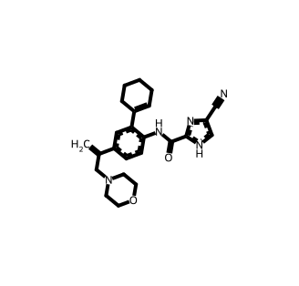 C=C(CN1CCOCC1)c1ccc(NC(=O)c2nc(C#N)c[nH]2)c(C2=CCCCC2)c1